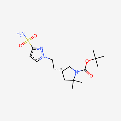 CC(C)(C)OC(=O)N1C[C@@H](CCn2ccc(S(N)(=O)=O)n2)CC1(C)C